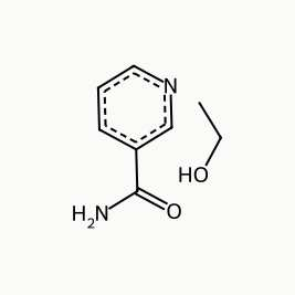 CCO.NC(=O)c1cccnc1